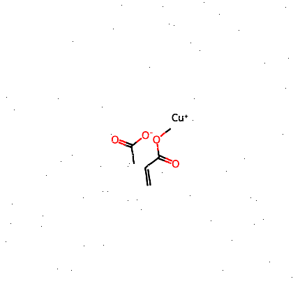 C=CC(=O)OC.CC(=O)[O-].[Cu+]